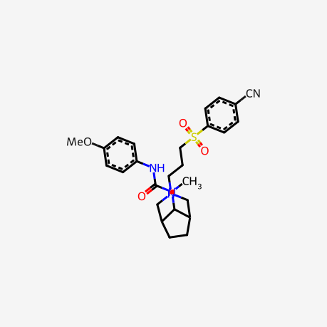 COc1ccc(NC(=O)N(C)C2C3CCC2CN(CCCS(=O)(=O)c2ccc(C#N)cc2)C3)cc1